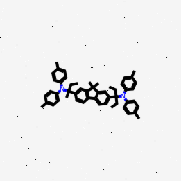 CCC(C)(c1ccc2c(c1)C(C)(C)c1cc(C(CC)(CC)N(c3ccc(C)cc3)c3ccc(C)cc3)ccc1-2)N(c1ccc(C)cc1)c1ccc(C)cc1